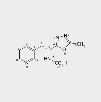 Cc1nnc([C@@H](Cc2cccnc2)NC(=O)O)o1